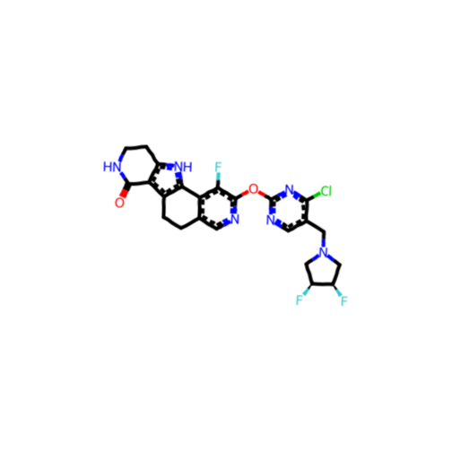 O=C1NCCc2[nH]c3c(c21)CCc1cnc(Oc2ncc(CN4C[C@@H](F)[C@@H](F)C4)c(Cl)n2)c(F)c1-3